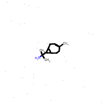 CC1=CCC2C(CC1)C2C(C)(C)N